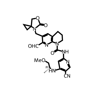 COC[C@@H](C)Nc1cc(NC(=O)N2CCCc3cc(CN4C(=O)OCC45CC5)c(C=O)nc32)ncc1C#N